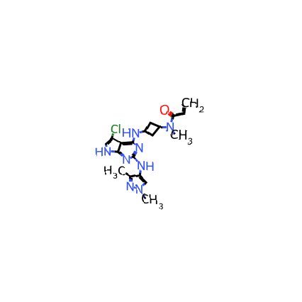 C=CC(=O)N(C)C1CC(Nc2nc(Nc3cn(C)nc3C)nc3[nH]cc(Cl)c23)C1